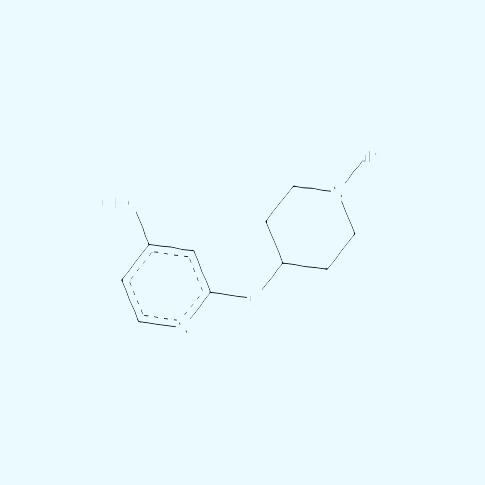 CC(C)N1CCC(Oc2cc(C=O)ccn2)CC1